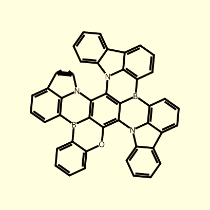 c1ccc2c(c1)Oc1c3c(c4c5c1-n1c6ccccc6c6cccc(c61)B5c1cccc5c6ccccc6n-4c15)-n1c4ccccc4c4cccc(c41)B23